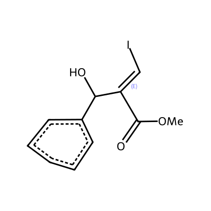 COC(=O)/C(=C/I)C(O)c1ccccc1